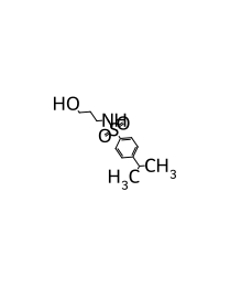 CC(C)c1ccc(S(=O)(=O)NCCCO)cc1